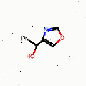 CC(C)C(O)c1cocn1